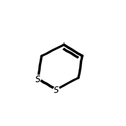 [C]1=CCSSC1